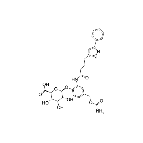 NC(=O)OCc1ccc(O[C@@H]2O[C@H](C(=O)O)[C@@H](O)[C@H](O)[C@H]2O)c(NC(=O)CCCn2cc(-c3ccccc3)nn2)c1